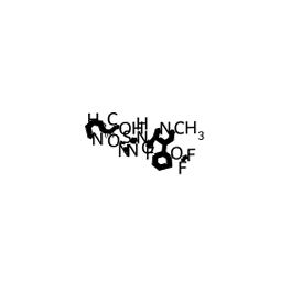 Cc1cc(-c2c(F)cccc2OC(F)F)c(C(=O)Nc2nnc(O[C@H](c3ccccn3)C(C)O)s2)cn1